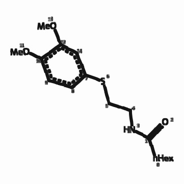 CCCCCCC(=O)NCCSc1ccc(OC)c(OC)c1